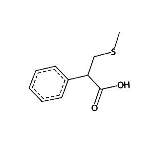 CSCC(C(=O)O)c1ccccc1